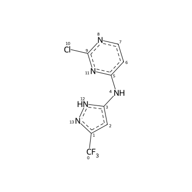 FC(F)(F)c1cc(Nc2ccnc(Cl)n2)[nH]n1